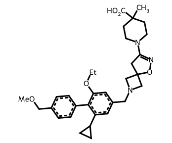 CCOc1cc(CN2CC3(CC(N4CCC(C)(C(=O)O)CC4)=NO3)C2)cc(C2CC2)c1-c1ccc(COC)cc1